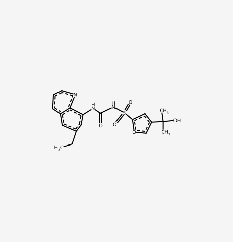 CCc1cc(NC(=O)NS(=O)(=O)c2cc(C(C)(C)O)co2)c2ncccc2c1